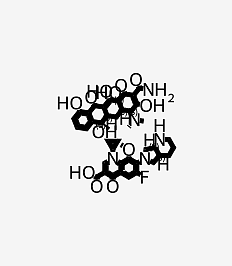 CN(C)[C@@H]1C(O)=C(C(N)=O)C(=O)[C@@]2(O)C(O)=C3C(=O)c4c(O)cccc4[C@@](C)(O)[C@H]3C[C@@H]12.COc1c(N2C[C@@H]3CCCN[C@@H]3C2)c(F)cc2c(=O)c(C(=O)O)cn(C3CC3)c12